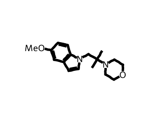 COc1ccc2c(ccn2CC(C)(C)N2CCOCC2)c1